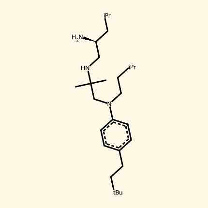 CC(C)CCN(CC(C)(C)NC[C@@H](N)CC(C)C)c1ccc(CCC(C)(C)C)cc1